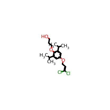 CC(C)c1cc(OCC=C(Cl)Cl)cc(C(C)C)c1OCCCO